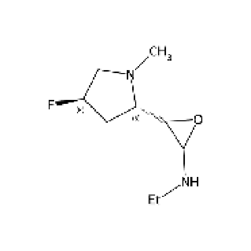 CCNC1OC1[C@@H]1C[C@@H](F)CN1C